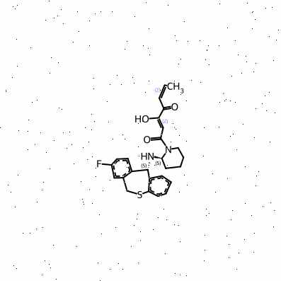 C/C=C\C(=O)/C(O)=C/C(=O)N1CCCC[C@H]1N[C@H]1c2ccc(F)cc2CSc2ccccc21